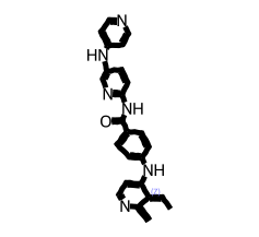 C=c1nccc(Nc2ccc(C(=O)Nc3ccc(Nc4ccncc4)cn3)cc2)/c1=C/C